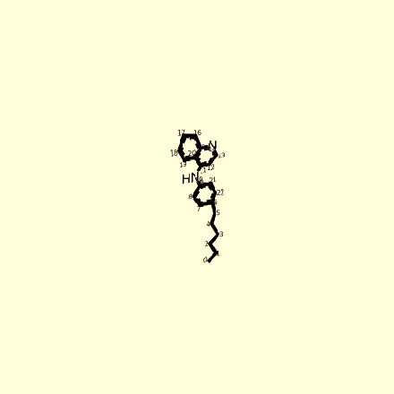 CCCCCCc1ccc(Nc2ccnc3ccccc23)cc1